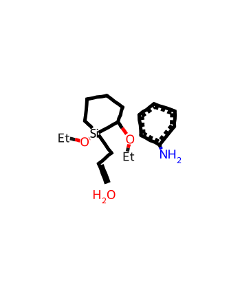 C=CC[Si]1(OCC)CCCCC1OCC.Nc1ccccc1.O